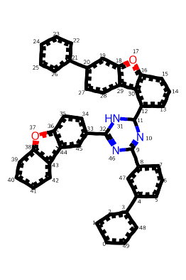 c1ccc(-c2cccc(C3=NC(c4cccc5oc6cc(-c7ccccc7)ccc6c45)NC(c4ccc5oc6ccccc6c5c4)=N3)c2)cc1